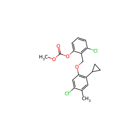 COC(=O)Oc1cccc(Cl)c1COc1cc(Cl)c(C)cc1C1CC1